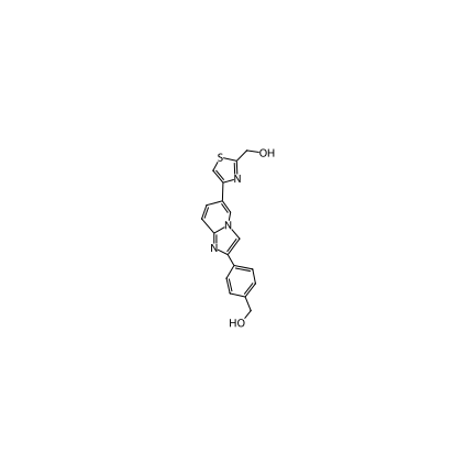 OCc1ccc(-c2cn3cc(-c4csc(CO)n4)ccc3n2)cc1